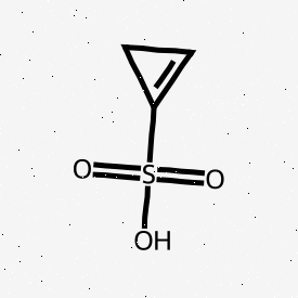 O=S(=O)(O)C1=CC1